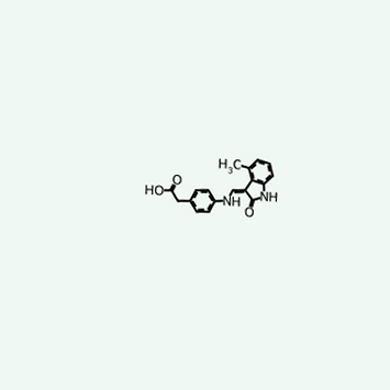 Cc1cccc2c1C(=CNc1ccc(CC(=O)O)cc1)C(=O)N2